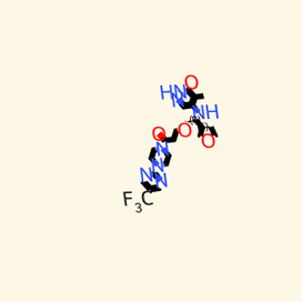 Cc1c(N[C@@H](COCCC(=O)N2CCN(c3ncc(C(F)(F)F)cn3)CC2)[C@@H]2CCOC2)cn[nH]c1=O